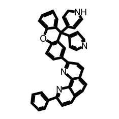 C1=CC(C2(c3ccncc3)c3ccccc3Oc3ccc(-c4ccc5ccc6ccc(-c7ccccc7)nc6c5n4)cc32)=CCN1